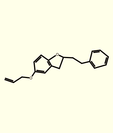 C=CCOc1ccc2c(c1)CC(CCc1ccccc1)O2